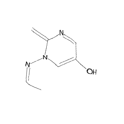 C=C1N=CC(O)=CN1/N=C\C